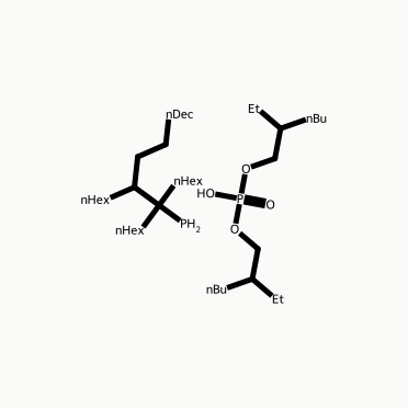 CCCCC(CC)COP(=O)(O)OCC(CC)CCCC.CCCCCCCCCCCCC(CCCCCC)C(P)(CCCCCC)CCCCCC